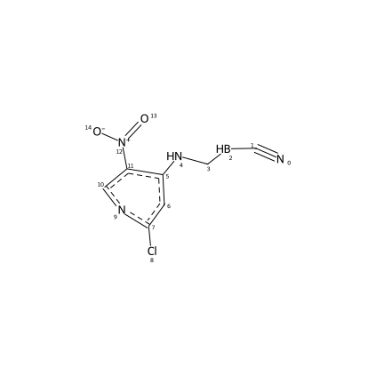 N#CBCNc1cc(Cl)ncc1[N+](=O)[O-]